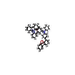 c1ccc(N(c2ccc(-c3cccc4c3oc3ccccc34)cc2)c2cccc(-c3ccccc3-n3c4ccccc4c4ccccc43)c2)cc1